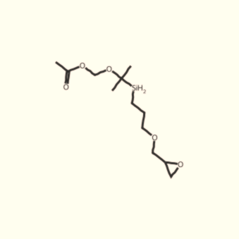 CC(=O)OCOC(C)(C)[SiH2]CCCOCC1CO1